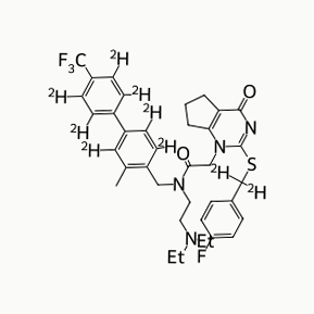 [2H]c1c([2H])c(-c2c([2H])c([2H])c(C(F)(F)F)c([2H])c2[2H])c([2H])c(C)c1CN(CCN(CC)CC)C(=O)Cn1c(SC([2H])([2H])c2ccc(F)cc2)nc(=O)c2c1CCC2